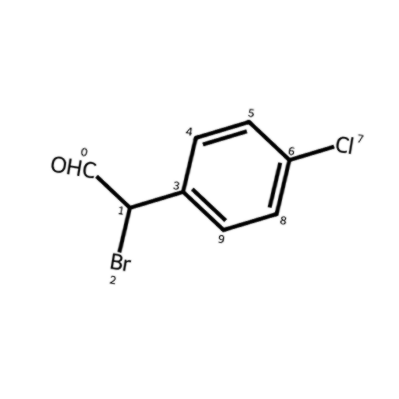 O=CC(Br)c1ccc(Cl)cc1